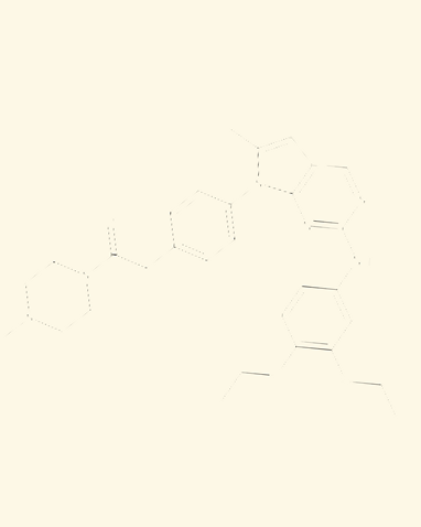 CCOc1ccc(Nc2ncc3cc(C)n(-c4ccc(CC(=O)N5CCN(C)CC5)cc4)c3n2)cc1OCC